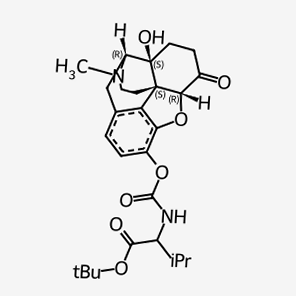 CC(C)C(NC(=O)Oc1ccc2c3c1O[C@H]1C(=O)CC[C@@]4(O)[C@@H](C2)N(C)CC[C@]314)C(=O)OC(C)(C)C